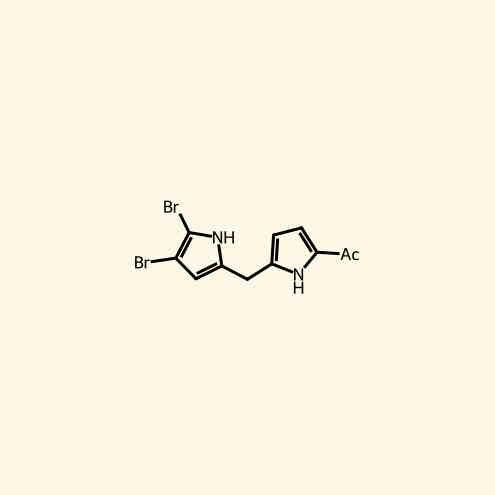 CC(=O)c1ccc(Cc2cc(Br)c(Br)[nH]2)[nH]1